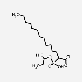 CCCCCCCCCCCCC(C(=O)Cl)P(=O)(O)OC(C)CC